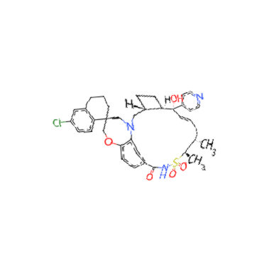 C[C@@H]1[C@@H](C)C/C=C/[C@](O)(c2ccncc2)[C@@H]2CC[C@H]2CN2C[C@@]3(CCCc4cc(Cl)ccc43)COc3ccc(cc32)C(=O)NS1(=O)=O